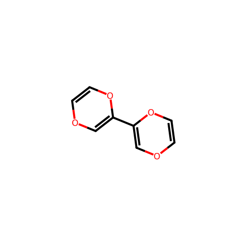 C1=COC(C2=COC=CO2)=CO1